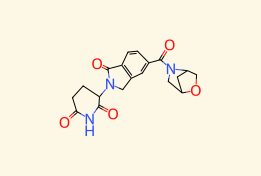 O=C1CCC(N2Cc3cc(C(=O)N4CC5CC4CO5)ccc3C2=O)C(=O)N1